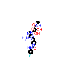 Nc1nc(CC2CCN(C(=O)Nc3ccc(F)cc3)CC2)nc2c1ncn2[C@@H]1O[C@H](C(=O)NC2CC2)[C@H](O)C1O